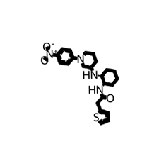 O=C(Cc1cccs1)N[C@@H]1CCCC[C@H]1NC1CCCN(c2ccc([N+](=O)[O-])cc2)C1